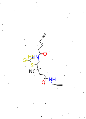 C#CCCCC(=O)NCC(SC(=S)S)C(C)(C#N)CCC(=O)NCC#C